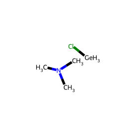 CN(C)C.[Cl][GeH3]